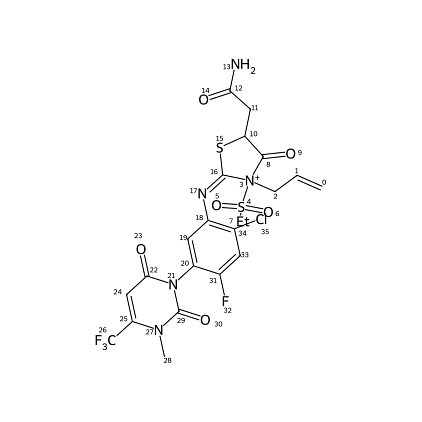 C=CC[N+]1(S(=O)(=O)CC)C(=O)C(CC(N)=O)SC1=Nc1cc(-n2c(=O)cc(C(F)(F)F)n(C)c2=O)c(F)cc1Cl